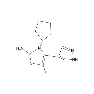 CC1=C(c2cn[nH]c2)N(C2CCCC2)C(N)S1